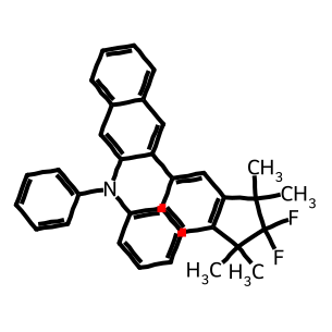 CC1(C)c2ccc(-c3cc4ccccc4cc3N(c3ccccc3)c3ccccc3)cc2C(C)(C)C1(F)F